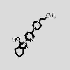 CCCN1CCN(c2ccc(-n3nc4c(c3O)CCCC4)nc2)CC1